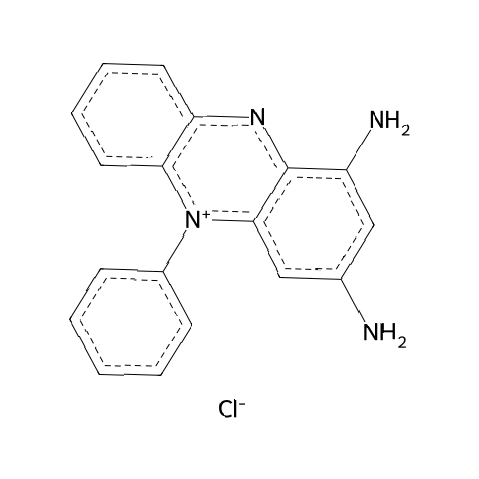 Nc1cc(N)c2nc3ccccc3[n+](-c3ccccc3)c2c1.[Cl-]